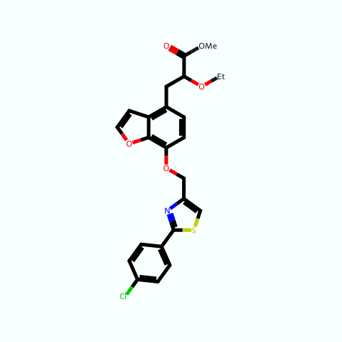 CCOC(Cc1ccc(OCc2csc(-c3ccc(Cl)cc3)n2)c2occc12)C(=O)OC